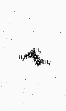 CCS(=O)(=O)[N+]1(c2ccc(Oc3c(F)cccc3OC)cc2)C=CC(CN)=CC1